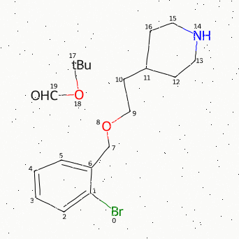 Brc1ccccc1COCCC1CCNCC1.CC(C)(C)OC=O